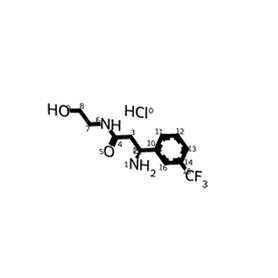 Cl.N[C@@H](CC(=O)NCCO)c1cccc(C(F)(F)F)c1